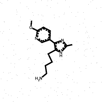 COc1ccc(-c2nc(C)[nH]c2CCCCN)cn1